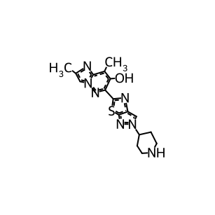 Cc1cn2nc(-c3nc4cn(C5CCNCC5)nc4s3)c(O)c(C)c2n1